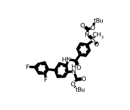 CC(C)(C)OC(=O)N=S(C)(=O)c1ccc(C(=O)Nc2cc(-c3ccc(F)cc3F)ccc2NC(=O)OC(C)(C)C)cc1